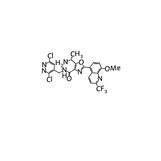 COc1ccc(-c2nc(C(=O)NCc3cc(Cl)nnc3Cl)c([C@H](C)N)o2)c2ccc(C(F)(F)F)nc12